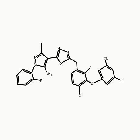 Cc1nn(-c2ccccc2F)c(N)c1-c1nnc(Cc2ccc(Cl)c(Oc3cc(Cl)cc(C#N)c3)c2F)o1